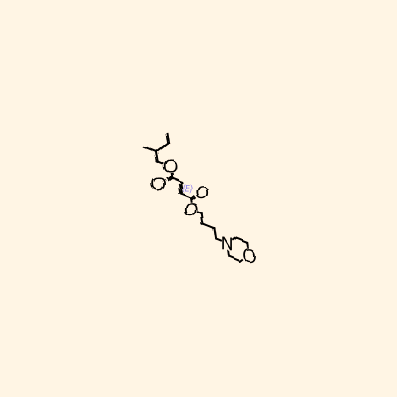 CCC(C)COC(=O)/C=C/C(=O)OCCCCN1CCOCC1